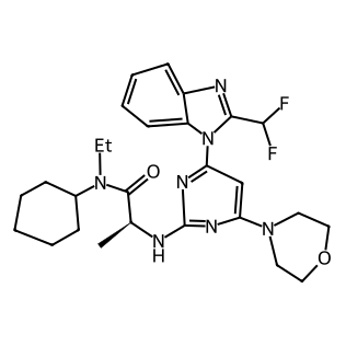 CCN(C(=O)[C@H](C)Nc1nc(N2CCOCC2)cc(-n2c(C(F)F)nc3ccccc32)n1)C1CCCCC1